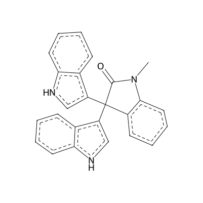 CN1C(=O)C(c2c[nH]c3ccccc23)(c2c[nH]c3ccccc23)c2ccccc21